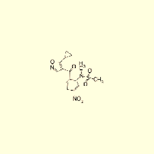 CN(c1cc([N+](=O)[O-])ccc1C(=O)c1cnoc1C1CC1)S(C)(=O)=O